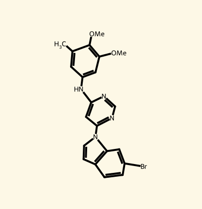 COc1cc(Nc2cc(-n3ccc4ccc(Br)cc43)ncn2)cc(C)c1OC